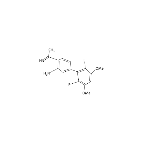 COc1cc(OC)c(F)c(-c2ccc(C(C)=N)c(N)c2)c1F